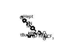 CCCCCCCOc1ccc(-c2cnc(-c3ccc(C[C@H](NC(=O)c4ccc(C(C)(C)C)s4)C(=O)N4CC[C@H](C(=O)NS(=O)(=O)CC(F)(F)F)C4)cc3)nc2)cc1